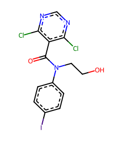 O=C(c1c(Cl)ncnc1Cl)N(CCO)c1ccc(I)cc1